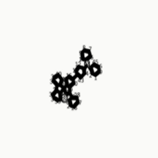 c1ccc(N(c2ccccc2)c2ccc(-c3ccc4c(c3)-c3c(oc5ccccc35)C43c4ccccc4-c4ccccc43)cc2)cc1